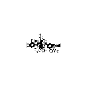 CCOc1c(C(N)=O)cc([C@@](O)(CNC(=O)c2cc(OC)c3nn(C4CC4)cc3c2)C(F)(F)F)nc1C1CCC(F)(F)CC1